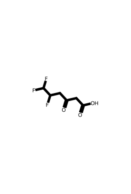 O=C(O)CC(=O)CC(F)C(F)F